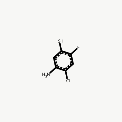 Nc1cc(S)c(F)cc1Cl